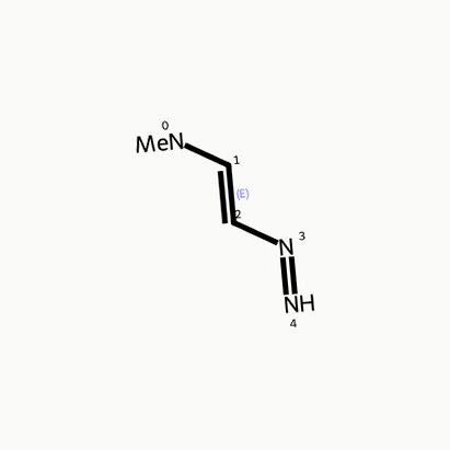 CN/C=C/N=N